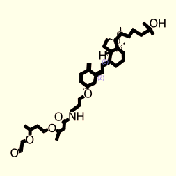 C=C1CC[C@H](OCCCNC(=O)CC(C)OCCC(C)OCC=O)C/C1=C/C=C1\CCC[C@]2(C)[C@@H]([C@H](C)CCCC(C)(C)O)CC[C@@H]12